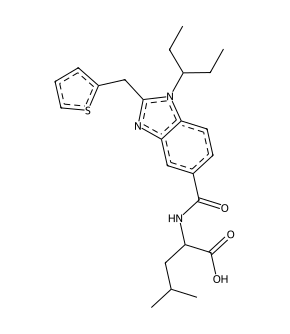 CCC(CC)n1c(Cc2cccs2)nc2cc(C(=O)NC(CC(C)C)C(=O)O)ccc21